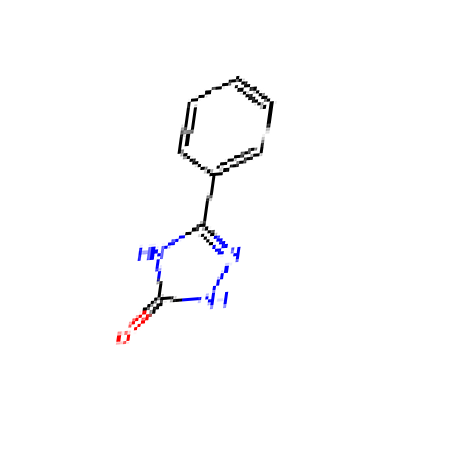 O=c1[nH]nc(-c2ccccc2)[nH]1